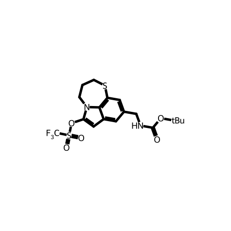 CC(C)(C)OC(=O)NCc1cc2c3c(c1)cc(OS(=O)(=O)C(F)(F)F)n3CCCS2